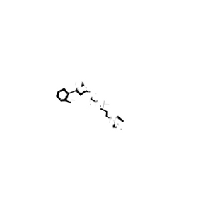 O=C(NCCCn1ccnc1)Oc1cc(-c2ccccc2F)on1